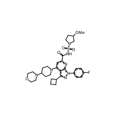 COC1CCN(S(=O)(=O)NC(=O)c2cc(N3CCC(N4CCOCC4)CC3)c3c(C4CCC4)nn(-c4ccc(F)cc4)c3n2)C1